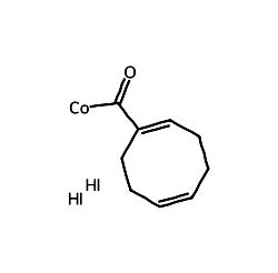 I.I.O=[C]([Co])C1=CCCC=CCC1